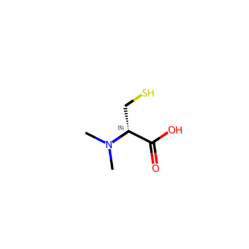 CN(C)[C@H](CS)C(=O)O